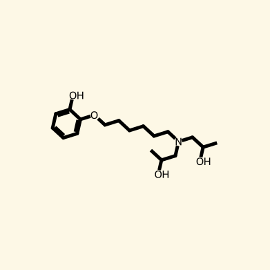 CC(O)CN(CCCCCCOc1ccccc1O)CC(C)O